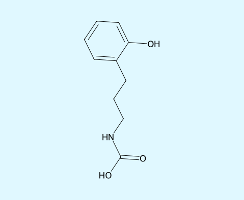 O=C(O)NCCCc1ccccc1O